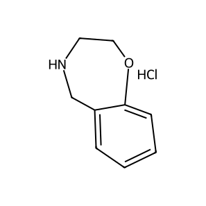 Cl.c1ccc2c(c1)CNCCO2